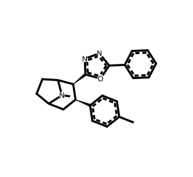 Cc1ccc([C@H]2CC3CCC([C@H]2c2nnc(-c4ccccc4)o2)N3C)cc1